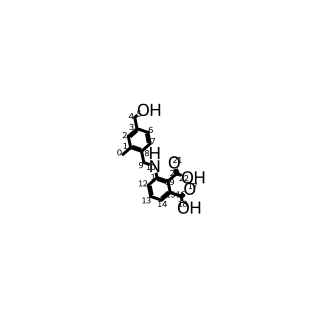 Cc1cc(CO)ccc1CNc1cccc(C(=O)O)c1C(=O)O